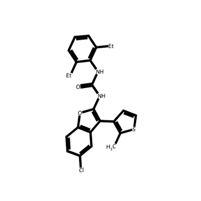 CCc1cccc(CC)c1NC(=O)Nc1oc2ccc(Cl)cc2c1-c1ccsc1C